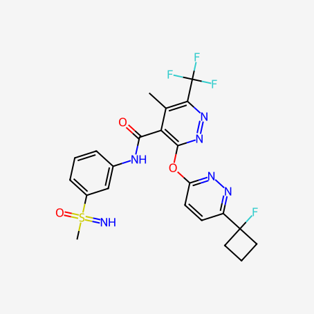 Cc1c(C(F)(F)F)nnc(Oc2ccc(C3(F)CCC3)nn2)c1C(=O)Nc1cccc(S(C)(=N)=O)c1